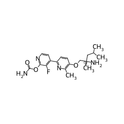 Cc1nc(-c2ccnc(OC(N)=O)c2F)ccc1OC[C@@](C)(N)CC(C)C